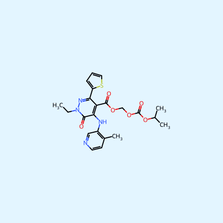 CCn1nc(-c2cccs2)c(C(=O)OCOC(=O)OC(C)C)c(Nc2cnccc2C)c1=O